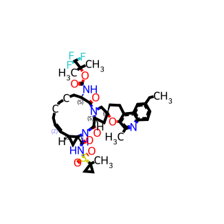 CCc1ccc2nc(C)c3c(c2c1)CC[C@]1(C[C@H]2C(=O)N[C@]4(C(=O)NS(=O)(=O)C5(C)CC5)C[C@H]4/C=C\CCCCC[C@H](NC(=O)OC(C)(C)C(F)(F)F)C(=O)N2C1)O3